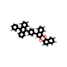 c1ccc(-c2c3ccccc3c(-c3ccc(-c4cc5c(c6ccccc46)Oc4c(ccc6ccccc46)O5)cc3)c3ccccc23)cc1